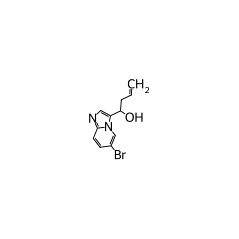 C=CCC(O)c1cnc2ccc(Br)cn12